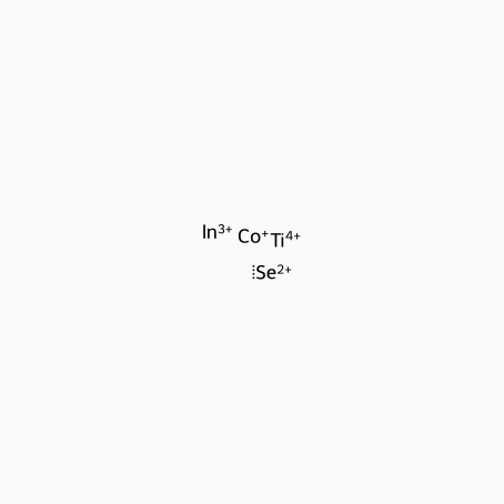 [Co+].[In+3].[Se+2].[Ti+4]